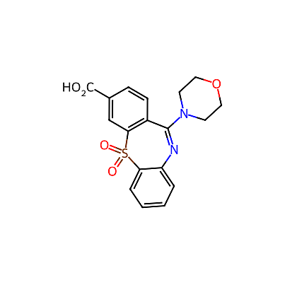 O=C(O)c1ccc2c(c1)S(=O)(=O)c1ccccc1N=C2N1CCOCC1